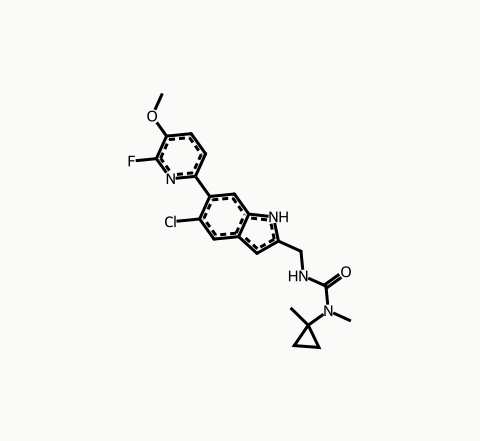 COc1ccc(-c2cc3[nH]c(CNC(=O)N(C)C4(C)CC4)cc3cc2Cl)nc1F